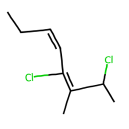 CC/C=C\C(Cl)=C(\C)C(C)Cl